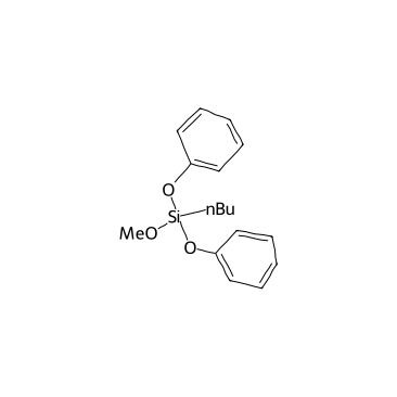 CCCC[Si](OC)(Oc1ccccc1)Oc1ccccc1